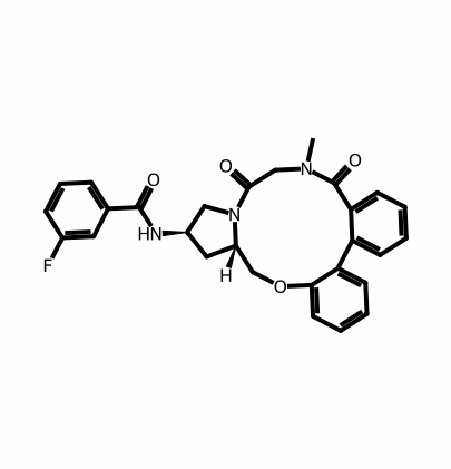 CN1CC(=O)N2C[C@H](NC(=O)c3cccc(F)c3)C[C@H]2COc2ccccc2-c2ccccc2C1=O